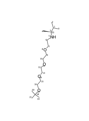 CC(C)[C@H](C)NCCOCCOCCOCCOC(C)(C)C